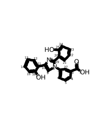 O=C(O)c1cccc(-n2cc(-c3ccccc3O)nc2-c2ccccc2O)c1